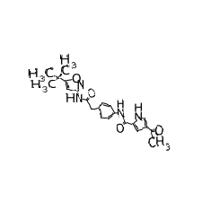 CC(=O)c1c[nH]c(C(=O)Nc2ccc(CC(=O)Nc3cc(C(C)(C)C)on3)cc2)c1